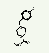 CNC(=O)[C@H]1CC[C@@H](Cc2ccc(Cl)cc2)CO1